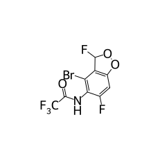 O=C(Nc1c(F)cc2c(c1Br)C(F)OO2)C(F)(F)F